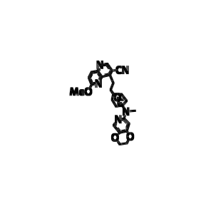 COc1ccc2ncc(C#N)c(CCC34CCC(N(C)c5cc6c(cn5)OCCO6)(CC3)CO4)c2n1